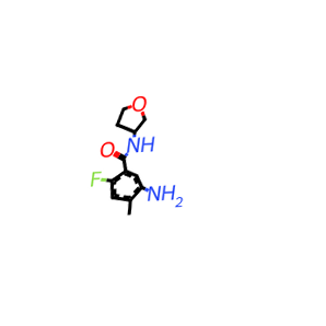 Cc1cc(F)c(C(=O)NC2CCOC2)cc1N